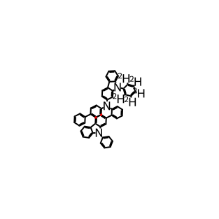 [2H]c1c([2H])c([2H])c(-n2c3ccccc3c3ccc(N(c4ccc(-c5ccccc5)cc4)c4ccccc4-c4ccc5c6ccccc6n(-c6ccccc6)c5c4)cc32)c([2H])c1[2H]